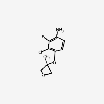 CC1(Oc2ccc(N)c(F)c2Cl)COC1